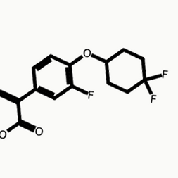 C=C(C(=O)O)c1ccc(OC2CCC(F)(F)CC2)c(F)c1